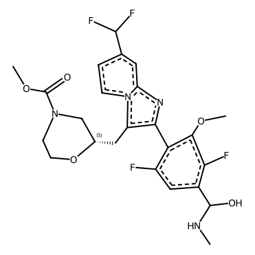 CNC(O)c1cc(F)c(-c2nc3cc(C(F)F)ccn3c2C[C@H]2CN(C(=O)OC)CCO2)c(OC)c1F